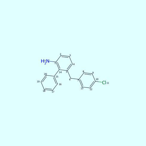 Nc1cccc(Cc2ccc(Cl)cc2)c1-c1ccccc1